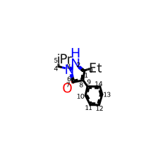 CCc1[nH]n(CC(C)C)c(=O)c1-c1ccccc1